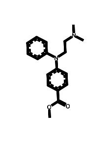 COC(=O)c1ccc(N(CCN(C)C)c2ccccc2)cc1